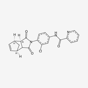 O=C(Nc1ccc(N2C(=O)C3[C@H]4C=C[C@H](C4)[C@H]3C2=O)c(Cl)c1)c1ccccn1